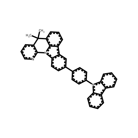 CC1(C)c2cccnc2-n2c3ccc(-c4ccc(-n5c6ccccc6c6ccccc65)cc4)cc3c3cccc1c32